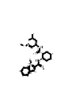 CON=CC(CC(C)C)NC(=O)[C@@H]1CCCC[C@@H]1NC(=O)c1cc2ccccc2n1C